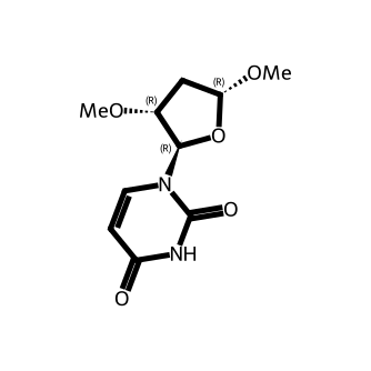 CO[C@H]1C[C@@H](OC)[C@H](n2ccc(=O)[nH]c2=O)O1